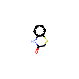 O=C1CSc2c[c]ccc2N1